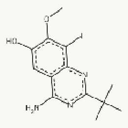 COc1c(O)cc2c(N)nc(C(C)(C)C)nc2c1I